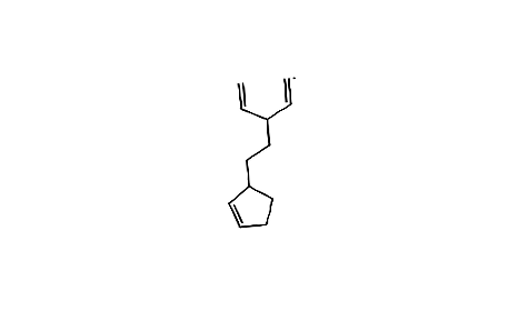 [CH]=CC(C=C)CCC1C=CCC1